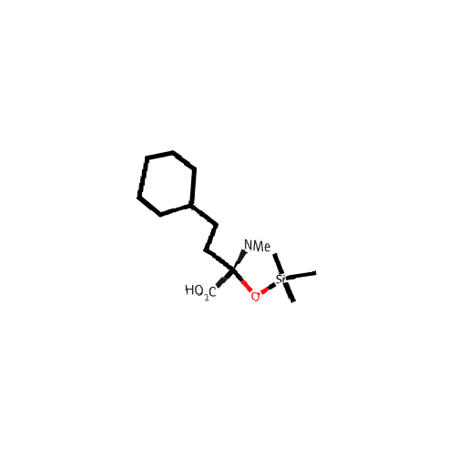 CN[C@@](CCC1CCCCC1)(O[Si](C)(C)C)C(=O)O